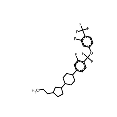 CCCC1CCC(C2CCC(c3ccc(C(F)(F)Oc4ccc(C(F)(F)F)c(F)c4)c(F)c3)CC2)C1